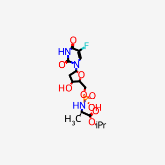 CC(C)OC(=O)[C@H](C)NP(=O)(O)OCC1OC(n2cc(F)c(=O)[nH]c2=O)CC1O